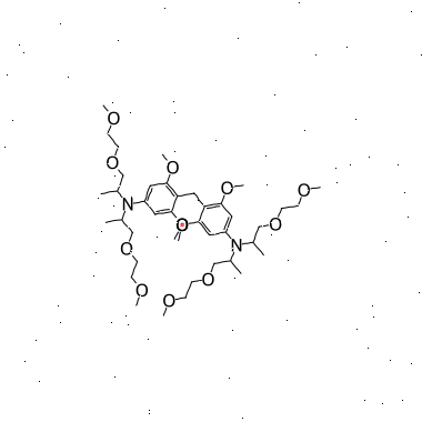 COCCOCC(C)N(c1cc(OC)c(Cc2c(OC)cc(N(C(C)COCCOC)C(C)COCCOC)cc2OC)c(OC)c1)C(C)COCCOC